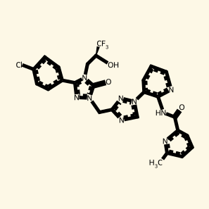 Cc1cccc(C(=O)Nc2ncccc2-n2cnc(Cn3nc(-c4ccc(Cl)cc4)n(C[C@H](O)C(F)(F)F)c3=O)n2)n1